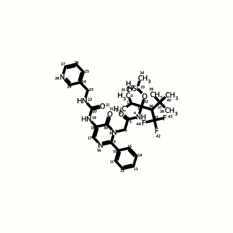 CC(C)C(NC(=O)Cn1c(-c2ccccc2)ncc(NC(=O)NCc2cccnc2)c1=O)(O[SiH](C)C)C(C(C)(C)C)C(F)(F)F